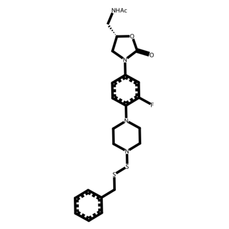 CC(=O)NC[C@H]1CN(c2ccc(N3CCN(SSCc4ccccc4)CC3)c(F)c2)C(=O)O1